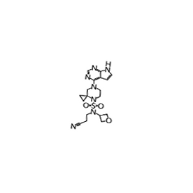 N#CCCN(C1COC1)S(=O)(=O)N1CCN(c2ncnc3[nH]ccc23)CC12CC2